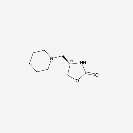 O=C1N[C@H](CN2CCCCC2)CO1